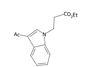 CCOC(=O)CCn1cc(C(C)=O)c2ccccc21